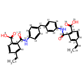 C=Cc1ccc(C(=O)O)c(C(=O)Nc2ccc(Cc3ccc(NC(=O)c4cc(C=C)ccc4C(=O)O)cc3)cc2)c1